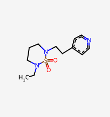 CCN1CCCN(CCc2ccncc2)S1(=O)=O